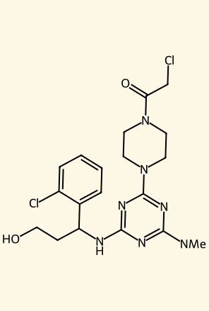 CNc1nc(NC(CCO)c2ccccc2Cl)nc(N2CCN(C(=O)CCl)CC2)n1